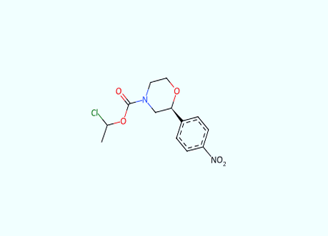 CC(Cl)OC(=O)N1CCO[C@@H](c2ccc([N+](=O)[O-])cc2)C1